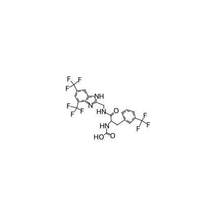 O=C(O)NC(Cc1cccc(C(F)(F)F)c1)C(=O)NCc1nc2c(C(F)(F)F)cc(C(F)(F)F)cc2[nH]1